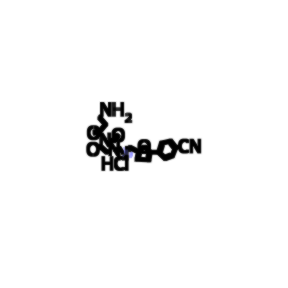 Cl.N#Cc1ccc(-c2ccc(/C=N/N3CC(=O)N(C(=O)CCN)C3=O)o2)cc1